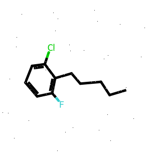 CCCCCc1c(F)cccc1Cl